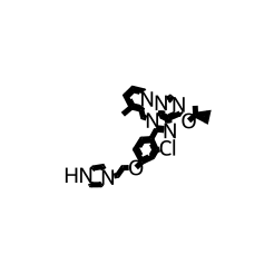 Cc1cccnc1Cn1c(-c2ccc(OCCN3CCNCC3)cc2Cl)nc2c(OC3(C)CC3)ncnc21